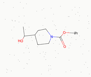 CC(C)OC(=O)N1CCC(C(C)O)CC1